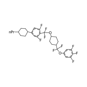 CCCC1CCC(c2cc(F)c(C(F)(F)OC3CCC(C(F)(F)Oc4cc(F)c(F)c(F)c4)CC3)c(F)c2)CC1